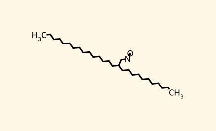 CCCCCCCCCCCCCCCC(CCCCCCCCCCC)CN=O